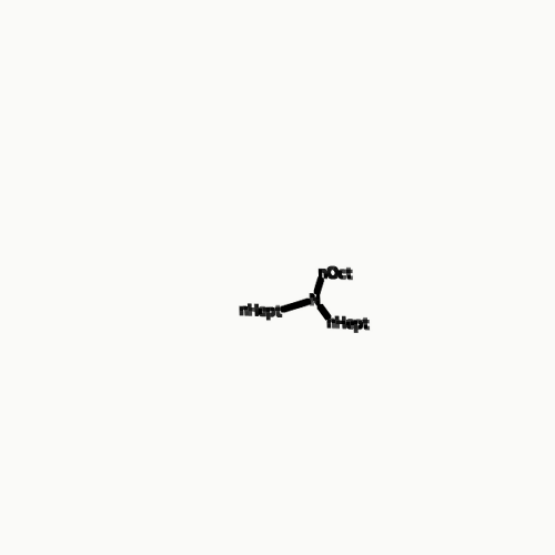 CCCCCCCCN(CCCCCCC)CCCCCCC